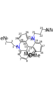 CNCCCN1c2cccc(OC)c2C2c3c(OC)cccc3N(CCCNC)c3cccc1c32